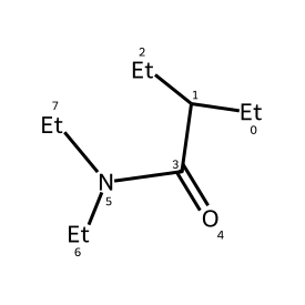 CCC(CC)C(=O)N(CC)CC